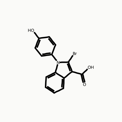 O=C(O)c1c(Br)n(-c2ccc(O)cc2)c2ccccc12